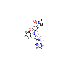 CCN(CC)C(=O)c1ccc2c(c1)Oc1ccccc1N2C1CCN(Cc2ncc[nH]2)CC1